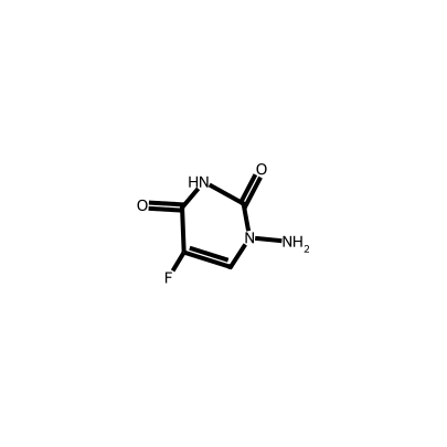 Nn1cc(F)c(=O)[nH]c1=O